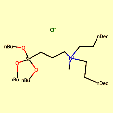 CCCCCCCCCCCC[N+](C)(CCCCCCCCCCCC)CCC[Si](OCCCC)(OCCCC)OCCCC.[Cl-]